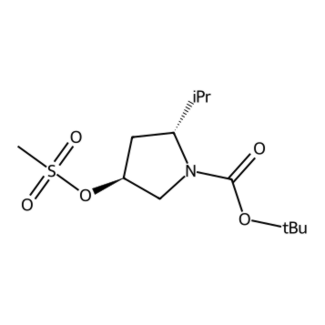 CC(C)[C@H]1C[C@H](OS(C)(=O)=O)CN1C(=O)OC(C)(C)C